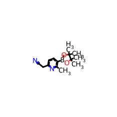 Cc1nc(CC#N)ccc1B1OC(C)(C)C(C)(C)O1